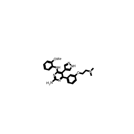 COc1ccccc1Nc1nc(N)nc(-c2cccc(OCCN(C)C)c2)c1-c1cn[nH]c1